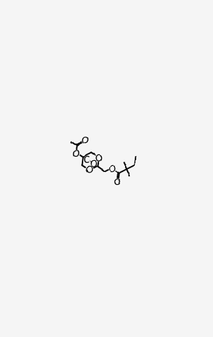 CCC(C)(C)C(=O)OCC12OCC(OC(C)=O)(CO1)CO2